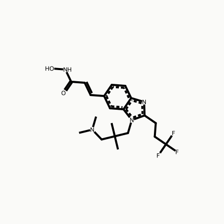 CN(C)CC(C)(C)Cn1c(CCC(F)(F)F)nc2ccc(C=CC(=O)NO)cc21